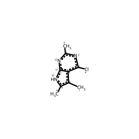 Cc1nc(Cl)c2c(C)c(C)[nH]c2n1